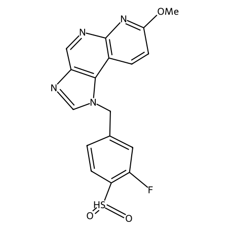 COc1ccc2c(ncc3ncn(Cc4ccc([SH](=O)=O)c(F)c4)c32)n1